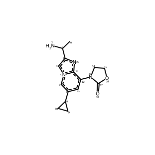 CC(N)c1cn2cc(C3CC3)cc(N3CCOC3=O)c2n1